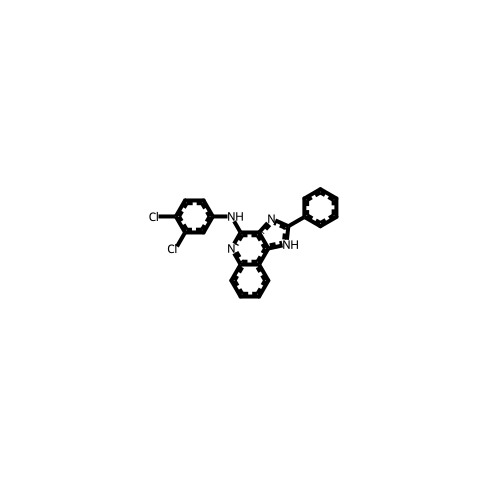 Clc1ccc(Nc2nc3ccccc3c3[nH]c(-c4ccccc4)nc23)cc1Cl